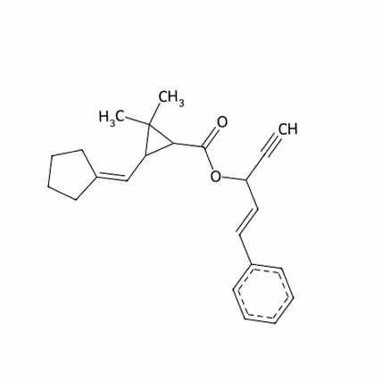 C#CC(/C=C/c1ccccc1)OC(=O)C1C(C=C2CCCC2)C1(C)C